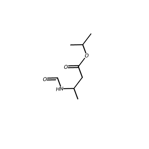 CC(CC(=O)OC(C)C)NC=O